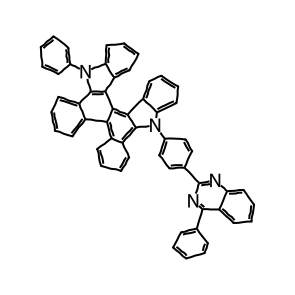 c1ccc(-c2nc(-c3ccc(-n4c5ccccc5c5c6c(c7ccccc7c7c6c6ccccc6n7-c6ccccc6)c6ccccc6c54)cc3)nc3ccccc23)cc1